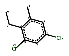 CCc1c(C)cc(Cl)cc1Cl